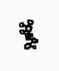 O=S(=O)(Nc1cscc1-c1ccccc1Cl)c1ccc(Cl)c(Cl)c1Cl